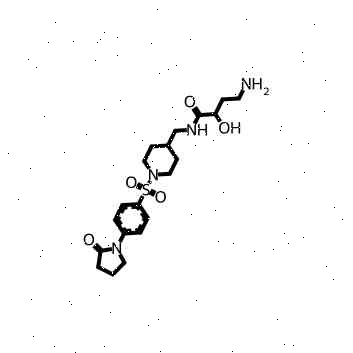 NCCC(O)C(=O)NCC1CCN(S(=O)(=O)c2ccc(N3CCCC3=O)cc2)CC1